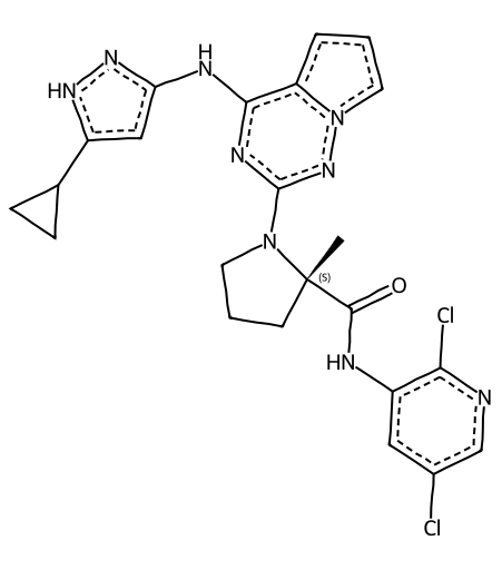 C[C@@]1(C(=O)Nc2cc(Cl)cnc2Cl)CCCN1c1nc(Nc2cc(C3CC3)[nH]n2)c2cccn2n1